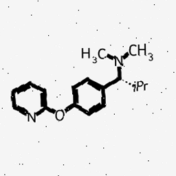 CC(C)[C@H](c1ccc(Oc2ccccn2)cc1)N(C)C